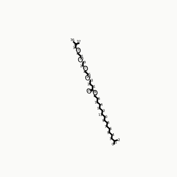 CC(C)CCCCCCCCCCCCCCCOC(=O)CCCOCCOCCOCCOCC(C)C